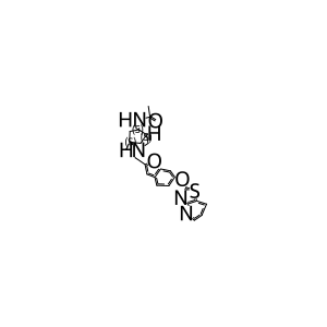 CC(=O)N[C@H]1C[C@@H]2C[C@H]1CN2Cc1cc2ccc(Oc3nc4ncccc4s3)cc2o1